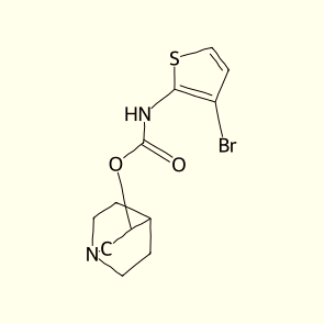 O=C(Nc1sccc1Br)OC1CN2CCC1CC2